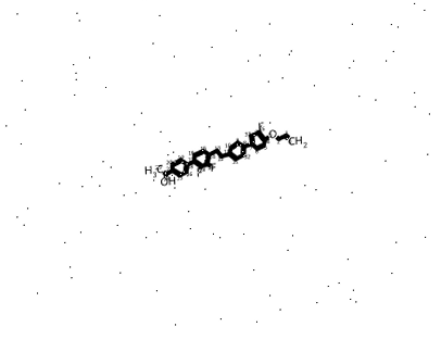 C=CCOc1ccc(-c2ccc(CCc3ccc(-c4ccc(C(C)O)cc4)c(F)c3F)cc2)cc1F